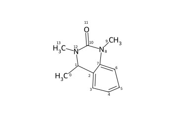 CC1c2ccccc2N(C)C(=O)N1C